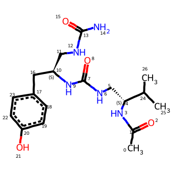 CC(=O)N[C@H](CNC(=O)N[C@H](CNC(N)=O)Cc1ccc(O)cc1)C(C)C